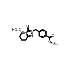 CC(C)(C)OC(=O)c1ccc(Cn2nc3n(c2=O)[C@@H](C(=O)O)CCC3)cc1